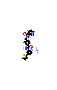 Nc1ccc(-c2cccs2)cc1NC(=O)c1ccc(Cn2sc3ncccc3c2=O)cc1